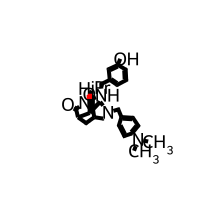 CC(C)CC1C2CC3CN(Cc4ccc(N(C)C)cc4)C1C3(C(=O)NCc1cccc(O)c1)NC2=O